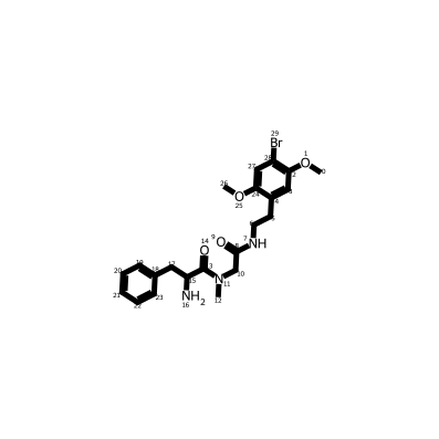 COc1cc(CCNC(=O)CN(C)C(=O)C(N)Cc2ccccc2)c(OC)cc1Br